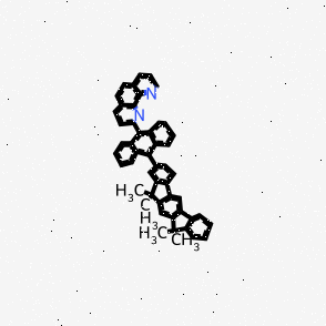 CC1(C)c2ccccc2-c2cc3c(cc21)C(C)(C)c1cc(-c2c4ccccc4c(-c4ccc5ccc6cccnc6c5n4)c4ccccc24)ccc1-3